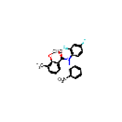 O=COc1c(C(=O)Nc2ccc(F)cc2F)cccc1C(F)(F)F.O=[N+]([O-])c1ccccc1